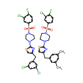 Cc1cc(C)cc(Cc2csc(N3CCN(S(=O)(=O)c4ccc(F)c(Cl)c4)CC3)n2)c1.O=S(=O)(c1ccc(F)c(Cl)c1)N1CCN(c2nc(Cc3cc(Cl)cc(Cl)c3)cs2)CC1